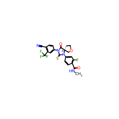 CNC(=O)c1ccc(N2C(=S)N(c3ccc(C#N)c(C(F)(F)F)c3)C(=O)[C@]23CCOC3)cc1F